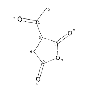 CC(=O)C1CC(=O)OC1=O